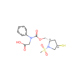 CS(=O)(=O)N1C[C@H](S)C[C@H]1COC(=O)N(CC(=O)O)c1ccccc1